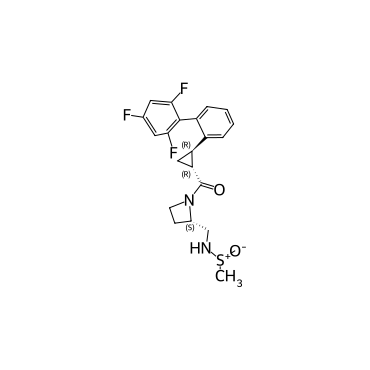 C[S+]([O-])NC[C@@H]1CCN1C(=O)[C@@H]1C[C@H]1c1ccccc1-c1c(F)cc(F)cc1F